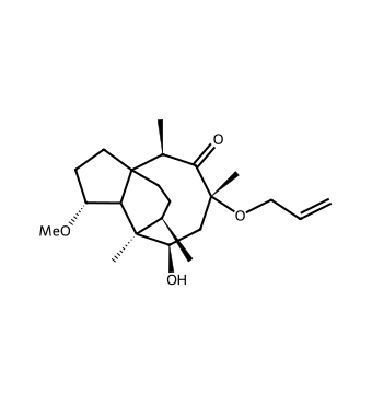 C=CCO[C@]1(C)C[C@@H](O)[C@@]2(C)C3[C@H](OC)CCC3(CC[C@H]2C)[C@@H](C)C1=O